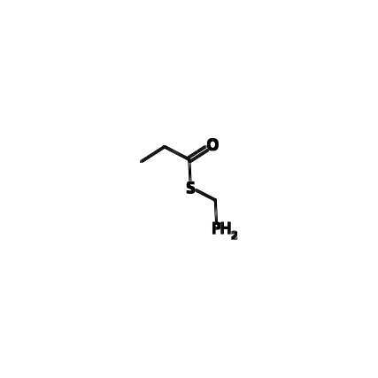 CCC(=O)SCP